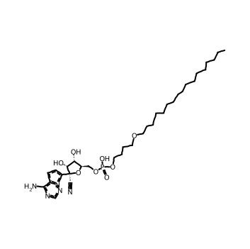 CCCCCCCCCCCCCCCCCOCCCCOP(=O)(O)OC[C@H]1O[C@@](C#N)(c2ccc3c(N)ncnn23)[C@H](O)[C@@H]1O